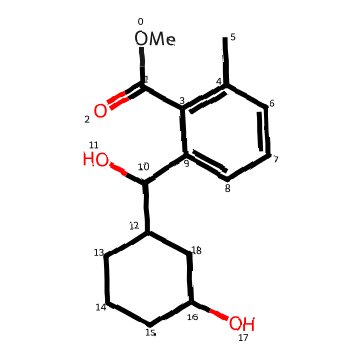 COC(=O)c1c(C)cccc1C(O)C1CCCC(O)C1